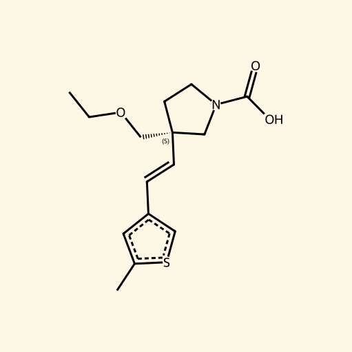 CCOC[C@]1(C=Cc2csc(C)c2)CCN(C(=O)O)C1